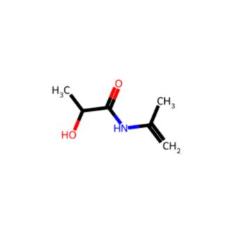 C=C(C)NC(=O)C(C)O